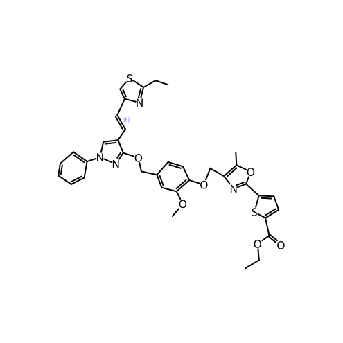 CCOC(=O)c1ccc(-c2nc(COc3ccc(COc4nn(-c5ccccc5)cc4/C=C/c4csc(CC)n4)cc3OC)c(C)o2)s1